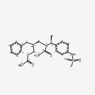 C[C@@H](c1ccc(NS(C)(=O)=O)cc1)N(C[C@@H](COC(=O)C(C)(C)C)Cc1ccccc1)C(N)=S